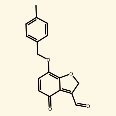 Cc1ccc(COC2=C3OCC(C=O)=C3C(=O)C=C2)cc1